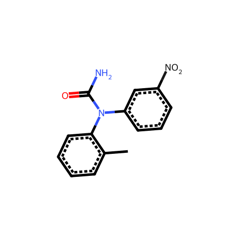 Cc1ccccc1N(C(N)=O)c1cccc([N+](=O)[O-])c1